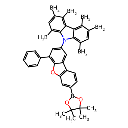 Bc1cc(B)c2c(c1B)c1c(B)c(B)cc(B)c1n2-c1cc(-c2ccccc2)c2oc3cc(B4OC(C)(C)C(C)(C)O4)ccc3c2c1